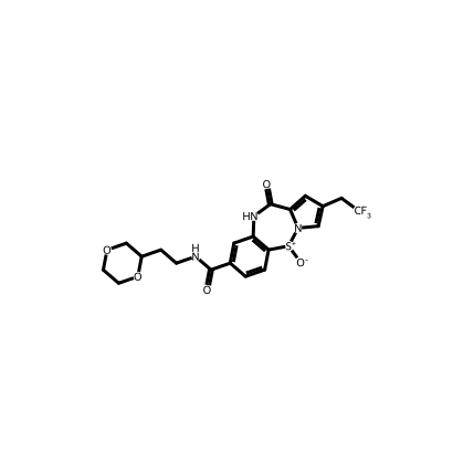 O=C(NCCC1COCCO1)c1ccc2c(c1)NC(=O)c1cc(CC(F)(F)F)cn1[S+]2[O-]